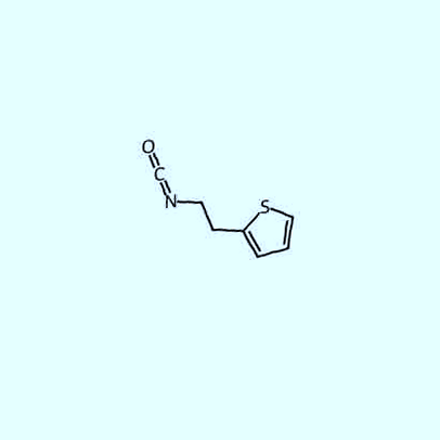 O=C=NCCc1cccs1